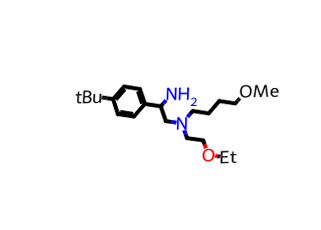 CCOCCN(CCCCOC)CC(N)c1ccc(C(C)(C)C)cc1